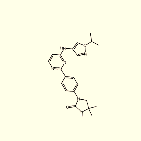 CC(C)n1cc(Nc2ccnc(-c3ccc(N4CC(C)(C)NC4=O)cc3)n2)cn1